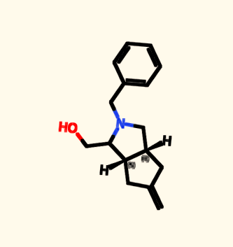 C=C1C[C@H]2CN(Cc3ccccc3)C(CO)[C@H]2C1